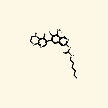 CCCCCCNC(=O)Oc1cc2cc(-c3cnc4c(c3C)NCCO4)c(F)c(N)c2cn1